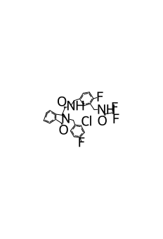 O=C(NCc1cc(CNC(=O)C2c3ccccc3C(=O)N2Cc2ccc(F)cc2Cl)ccc1F)C(F)F